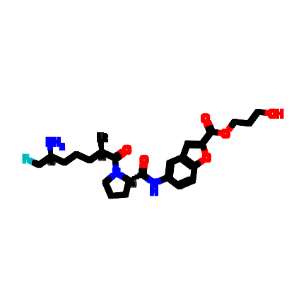 CC[C@H](CCC[C@H](N)CF)C(=O)N1CCC[C@H]1C(=O)Nc1ccc2oc(C(=O)OCCCO)cc2c1